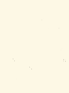 COC(=O)c1cc2cnc(OC)nc2c2c(C(C)C)noc12